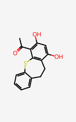 CC(=O)c1c(O)cc(O)c2c1Sc1ccccc1CC2